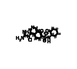 N=C(N)N(Cl)c1cncc2cc(S(=O)(=O)N[C@@H]3CCCC[C@@H]3C(=O)O)ccc12